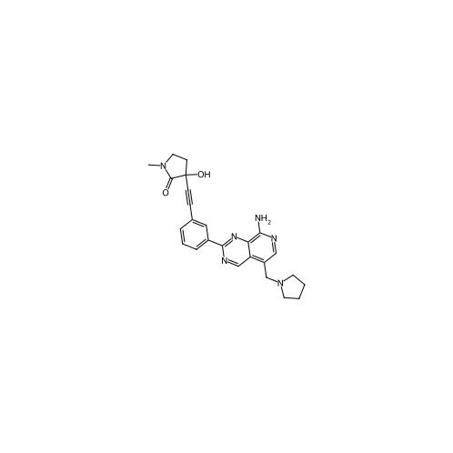 CN1CCC(O)(C#Cc2cccc(-c3ncc4c(CN5CCCC5)cnc(N)c4n3)c2)C1=O